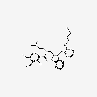 COc1ccc(C(=O)N(CCC(C)C)Cc2nc3ccccc3n2Cc2ccccc2OCCCCl)c(Cl)c1OC